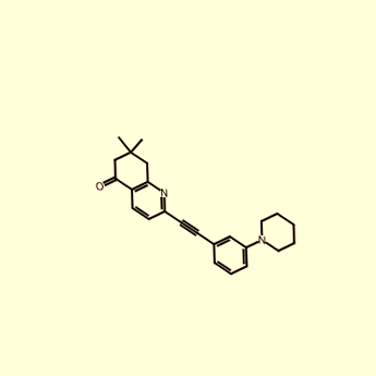 CC1(C)CC(=O)c2ccc(C#Cc3cccc(N4CCCCC4)c3)nc2C1